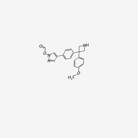 COc1ccc(C2(c3ccc(-c4cnn(OC=O)c4)cc3)CNC2)cc1